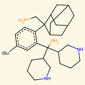 CC(C)(C)c1ccc(C2(CP)C3CC4CC(C3)CC2C4)c(C(P)(C2CCCNC2)C2CCCNC2)c1